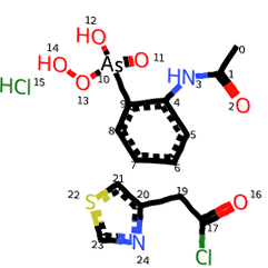 CC(=O)Nc1ccccc1[As](=O)(O)OO.Cl.O=C(Cl)Cc1cscn1